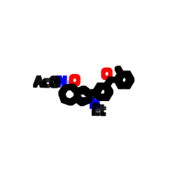 CCn1c2ccc(C(=O)c3ccccc3C)cc2c2cc3c(cc21)CCC/C(=N\OC(C)=O)C3=O